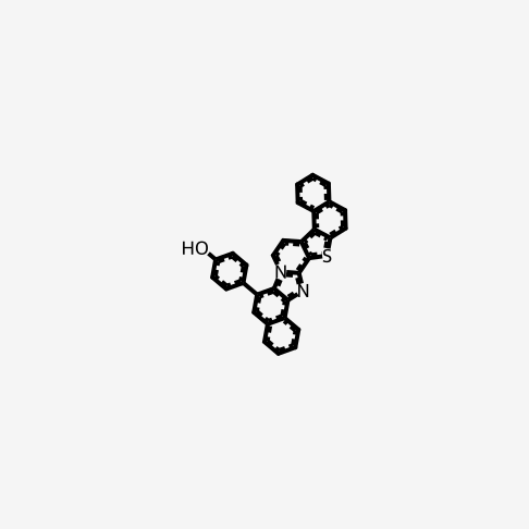 Oc1ccc(-c2cc3ccccc3c3nc4c5sc6ccc7ccccc7c6c5ccn4c23)cc1